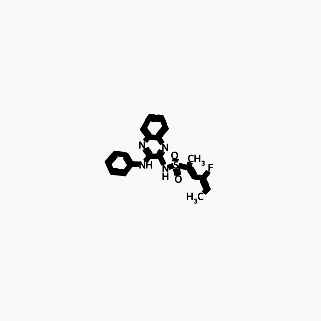 C/C=C(F)\C=C(/C)S(=O)(=O)Nc1nc2ccccc2nc1Nc1ccccc1